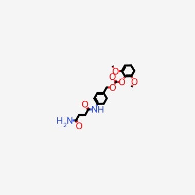 COC1=CCCC(OC)=C1OC(=O)OCC1=CC=C(NC(=O)CCC(N)=O)CC1